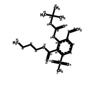 C=Cc1ccc(S(C)(=O)=O)c(C(=O)OCCCC)c1OC(=O)OC(C)(C)C